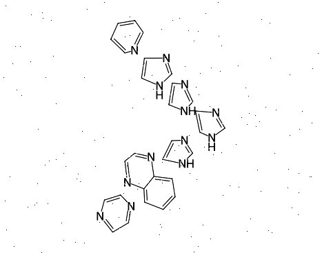 c1c[nH]cn1.c1c[nH]cn1.c1c[nH]cn1.c1c[nH]cn1.c1ccc2nccnc2c1.c1ccncc1.c1cnccn1